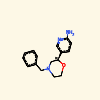 Nc1ccc([C@@H]2CN(Cc3ccccc3)CCO2)cn1